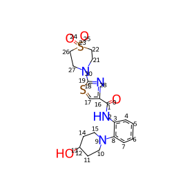 O=C(Nc1ccccc1N1CCC(O)CC1)c1csc(N2CCS(=O)(=O)CC2)n1